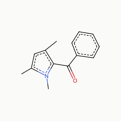 Cc1cc(C)n(C)c1C(=O)c1ccccc1